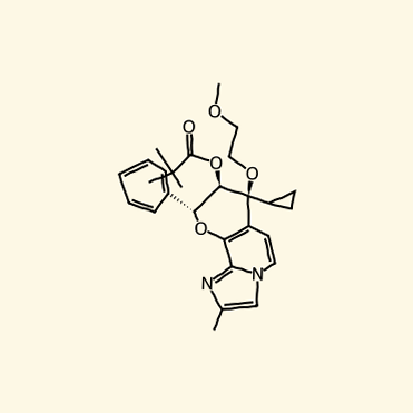 COCCO[C@@]1(C2CC2)c2ccn3cc(C)nc3c2O[C@H](c2ccccc2)[C@H]1OC(=O)C(C)(C)C